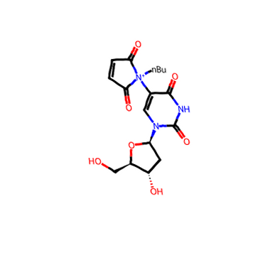 CCCC[N+]1(c2cn([C@H]3C[C@H](O)[C@@H](CO)O3)c(=O)[nH]c2=O)C(=O)C=CC1=O